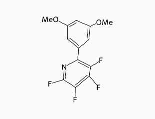 COc1cc(OC)cc(-c2nc(F)c(F)c(F)c2F)c1